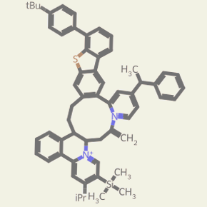 C=C1CC2C(CCc3cc4sc5c(-c6ccc(C(C)(C)C)cc6)cccc5c4cc3-c3cc(C(C)c4ccccc4)cc[n+]31)c1ccccc1-c1cc(C(C)C)c([Si](C)(C)C)c[n+]12